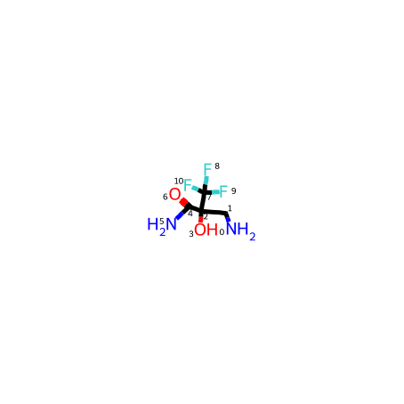 NCC(O)(C(N)=O)C(F)(F)F